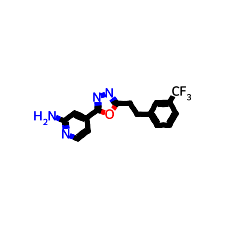 Nc1cc(-c2nnc(CCc3cccc(C(F)(F)F)c3)o2)ccn1